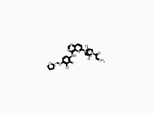 C=CC(=O)N1C[C@@H]2C[C@H]1CN2c1ccc2ncnc(Nc3ccc(OC[C@@H]4CCCO4)c(Cl)c3F)c2n1